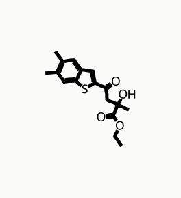 CCOC(=O)C(C)(O)CC(=O)c1cc2cc(C)c(C)cc2s1